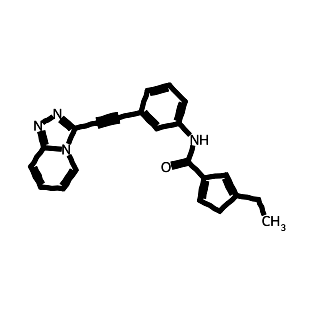 CCC1=CC(C(=O)Nc2cccc(C#Cc3nnc4ccccn34)c2)=CC1